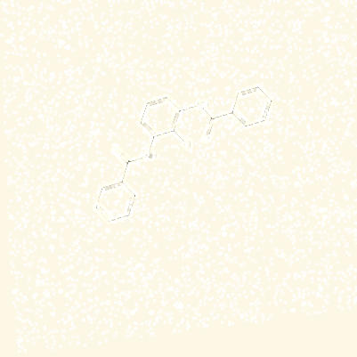 O=C(Nc1cccc(NC(=O)c2ccccc2)c1Cl)c1ccccc1